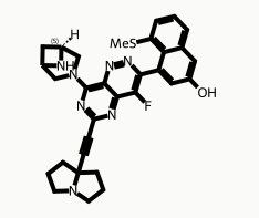 CSc1cccc2cc(O)cc(-c3nnc4c(N5CC6C[C@@H](C5)N6)nc(C#CC56CCCN5CCC6)nc4c3F)c12